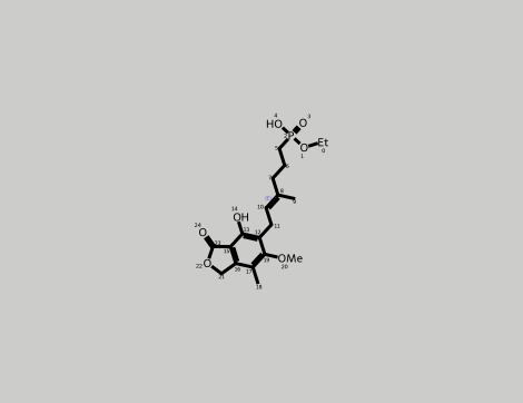 CCOP(=O)(O)CCC/C(C)=C/Cc1c(O)c2c(c(C)c1OC)COC2=O